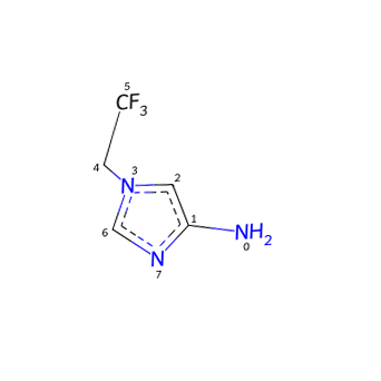 Nc1cn(CC(F)(F)F)cn1